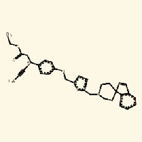 CC#C[C@@H](CC(=O)OCC)c1ccc(OCc2ccc(CN3CCC4(C=Cc5ccccc54)CC3)s2)cc1